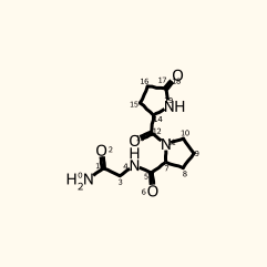 NC(=O)CNC(=O)C1CCCN1C(=O)C1CCC(=O)N1